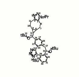 CC(C)n1nnc2c1CCC1C(CC2)C1C(OC(C)(C)C)c1ccc2c(c1)-c1nnn(C(C)(C)C)c1-c1ccccc1C(OC(C)(C)C)C2